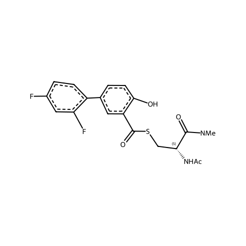 CNC(=O)[C@@H](CSC(=O)c1cc(-c2ccc(F)cc2F)ccc1O)NC(C)=O